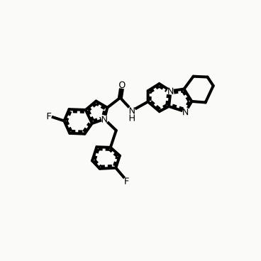 O=C(Nc1ccn2c3c(nc2c1)CCCC3)c1cc2cc(F)ccc2n1Cc1cccc(F)c1